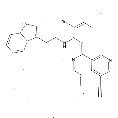 C#Cc1cncc(C(=C/N(NCCC2=CNC3C=CC=CC23)/C(=C\C)C(C)CC)/N=C\C=C)c1